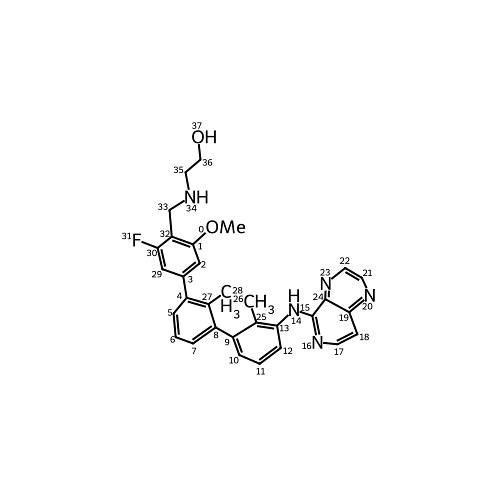 COc1cc(-c2cccc(-c3cccc(Nc4nccc5nccnc45)c3C)c2C)cc(F)c1CNCCO